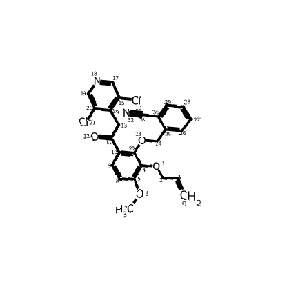 C=CCOc1c(OC)ccc(C(=O)Cc2c(Cl)cncc2Cl)c1OCc1ccccc1C#N